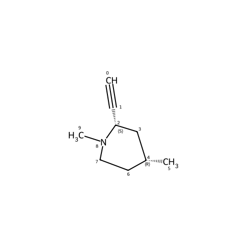 C#C[C@@H]1C[C@H](C)CCN1C